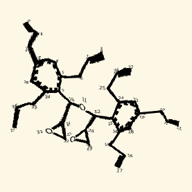 C=CCc1cc(CC=C)c(C(OC(c2c(CC=C)cc(CC=C)cc2CC=C)C2CO2)C2CO2)c(CC=C)c1